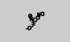 Cc1ccc(CC(C)(C)C(C)(C)C2(C)C=Cc3ccc(N=C=O)cc3C=C2N=C=O)cc1